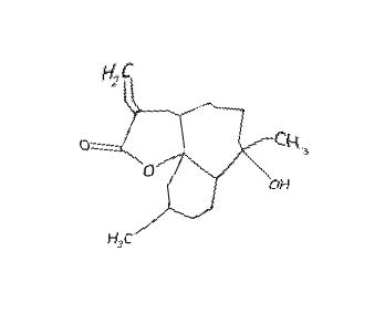 C=C1C(=O)OC23CC(C)CCC2C(C)(O)CCC13